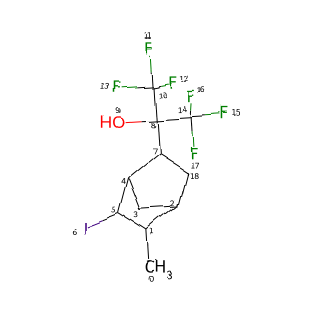 CC1C2CC(C1I)C(C(O)(C(F)(F)F)C(F)(F)F)C2